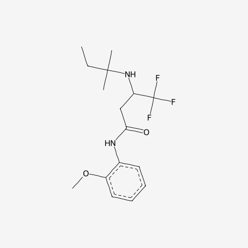 CCC(C)(C)NC(CC(=O)Nc1ccccc1OC)C(F)(F)F